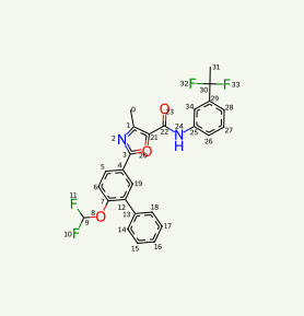 Cc1nc(-c2ccc(OC(F)F)c(-c3ccccc3)c2)oc1C(=O)Nc1cccc(C(C)(F)F)c1